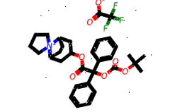 CC(C)(C)OC(=O)OC(C(=O)OC1CC2CCC(C1)[N+]21CCCC1)(c1ccccc1)c1ccccc1.O=C([O-])C(F)(F)F